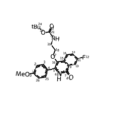 COc1ccc(-c2[nH]c(=O)c3cc(F)ccc3c2OCCNC(=O)OC(C)(C)C)cc1